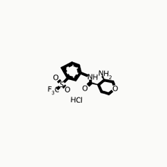 Cl.N[C@H]1COCC[C@H]1C(=O)Nc1cccc(S(=O)(=O)C(F)(F)F)c1